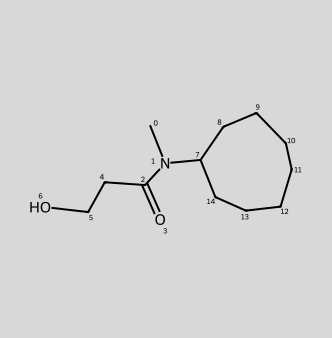 CN(C(=O)CCO)C1CCCCCCC1